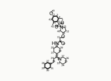 COc1cc(C)c(S(=O)(=O)N2CCC(OCC(=O)NC3CCC(C(CCc4ccccc4)N4CCCCC4)CC3)C2)c(C)c1